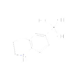 CC(C)(C)c1ccc2c(c1)SCCN2